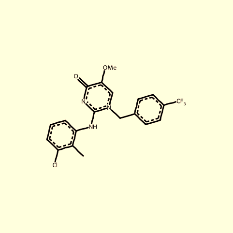 COc1cn(Cc2ccc(C(F)(F)F)cc2)c(Nc2cccc(Cl)c2C)nc1=O